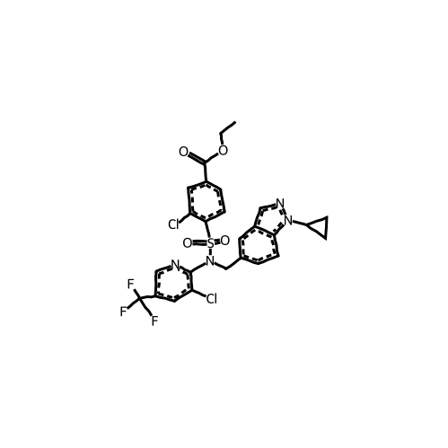 CCOC(=O)c1ccc(S(=O)(=O)N(Cc2ccc3c(cnn3C3CC3)c2)c2ncc(C(F)(F)F)cc2Cl)c(Cl)c1